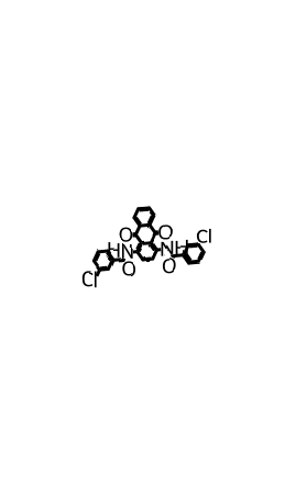 O=C(Nc1ccc(NC(=O)c2cccc(Cl)c2)c2c1C(=O)c1ccccc1C2=O)c1cccc(Cl)c1